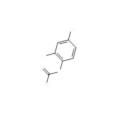 N#Cc1ccc(OC(N)=O)c(O)c1